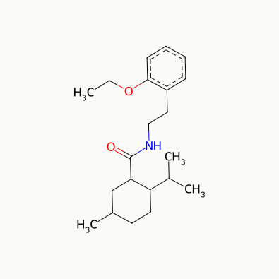 CCOc1ccccc1CCNC(=O)C1CC(C)CCC1C(C)C